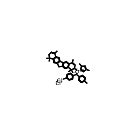 CC1=CC(C)[C]([Zr+2](=[C](c2ccc(C)cc2)c2ccc(C)cc2)[CH]2C=C(C)c3cc4c(cc3C2(C)C)Cc2cc3c(cc2-4)C(C)=CCC3(C)C)=C1.[Cl-].[Cl-]